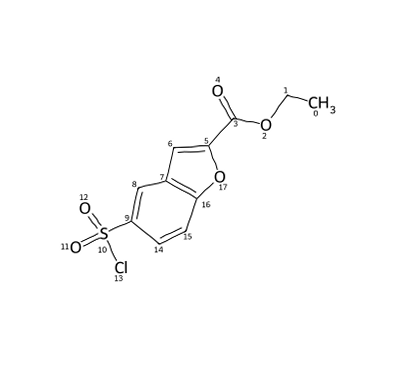 CCOC(=O)c1cc2cc(S(=O)(=O)Cl)ccc2o1